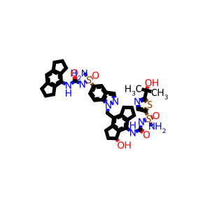 CC(C)(O)c1ncc(S(N)(=O)=NC(=O)Nc2c3c(c(Cn4ncc5cc(S(N)(=O)=NC(=O)Nc6c7c(cc8c6CCC8)CCC7)ccc54)c4c2C(O)CC4)CCC3)s1